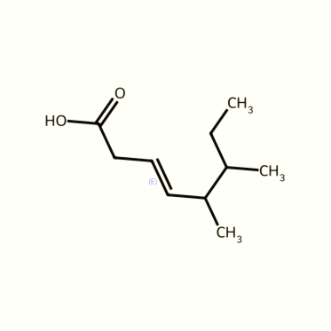 CCC(C)C(C)/C=C/CC(=O)O